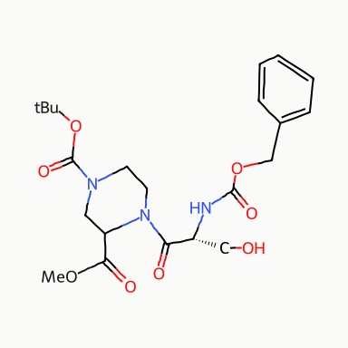 COC(=O)C1CN(C(=O)OC(C)(C)C)CCN1C(=O)[C@@H](CO)NC(=O)OCc1ccccc1